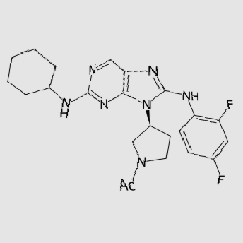 CC(=O)N1CC[C@H](n2c(Nc3ccc(F)cc3F)nc3cnc(NC4CCCCC4)nc32)C1